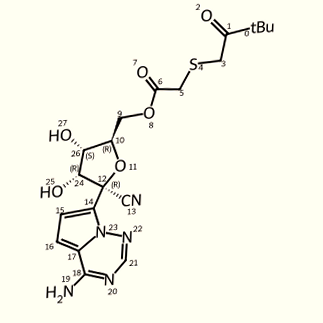 CC(C)(C)C(=O)CSCC(=O)OC[C@H]1O[C@@](C#N)(c2ccc3c(N)ncnn23)[C@H](O)[C@@H]1O